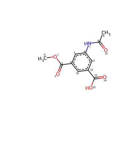 COC(=O)c1cc(NC(C)=O)cc(C(=O)O)c1